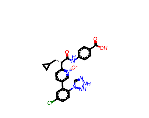 O=C(O)c1ccc(NC(=O)[C@@H](CC2CC2)c2ccc(-c3cc(Cl)ccc3N3C=NNN3)c[n+]2[O-])cc1